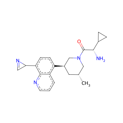 C[C@@H]1C[C@@H](c2ccc(C3C=N3)c3ncccc23)CN(C(=O)[C@@H](N)C2CC2)C1